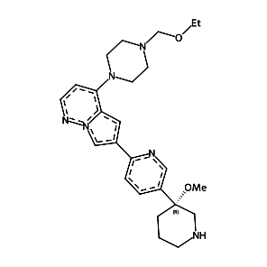 CCOCN1CCN(c2ccnn3cc(-c4ccc([C@]5(OC)CCCNC5)cn4)cc23)CC1